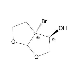 O[C@H]1COC2OCC[C@]21Br